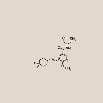 CCC(CO)NC(=O)c1cnc(OC)c(C=CC2CCC(F)(F)CC2)c1